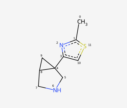 Cc1nc(C23CNCC2C3)cs1